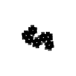 c1ccc(-c2ncnc3ccc(-c4cccc(-c5ccc6ncnc(-c7ccccn7)c6c5)c4)cc23)nc1